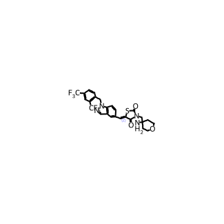 NC1(CN2C(=O)S/C(=C\c3ccc4c(cnn4Cc4ccc(C(F)(F)F)cc4C(F)(F)F)c3)C2=O)CCOCC1